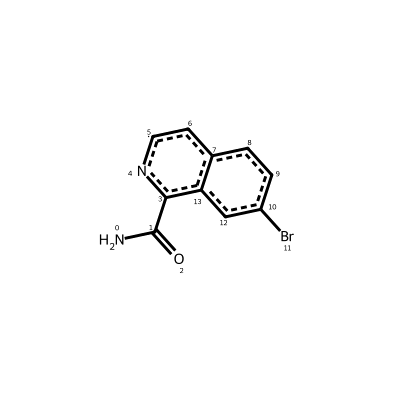 NC(=O)c1n[c]cc2ccc(Br)cc12